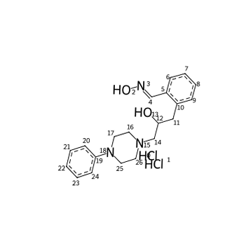 Cl.Cl.ON=Cc1ccccc1CC(O)CN1CCN(c2ccccc2)CC1